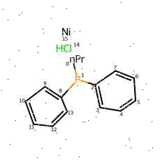 CCCP(c1ccccc1)c1ccccc1.Cl.[Ni]